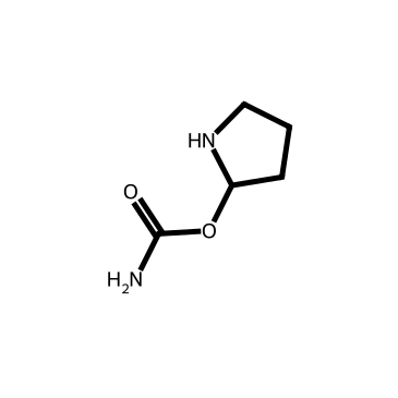 NC(=O)OC1CCCN1